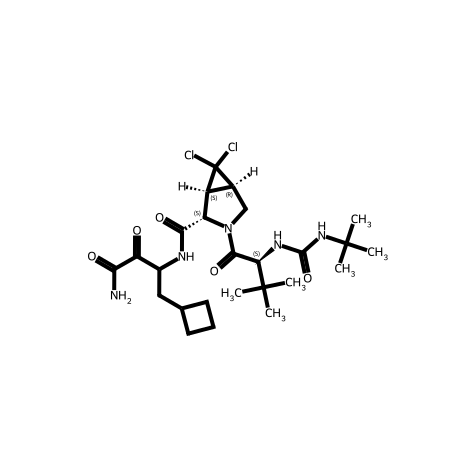 CC(C)(C)NC(=O)N[C@H](C(=O)N1C[C@H]2[C@@H]([C@H]1C(=O)NC(CC1CCC1)C(=O)C(N)=O)C2(Cl)Cl)C(C)(C)C